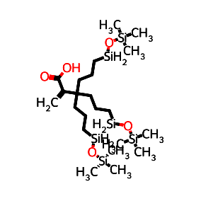 C=C(C(=O)O)C(CCC[SiH2]O[Si](C)(C)C)(CCC[SiH2]O[Si](C)(C)C)CCC[SiH2]O[Si](C)(C)C